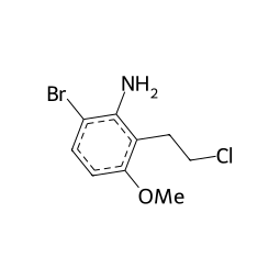 COc1ccc(Br)c(N)c1CCCl